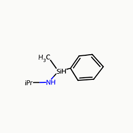 CC(C)N[SiH](C)c1ccccc1